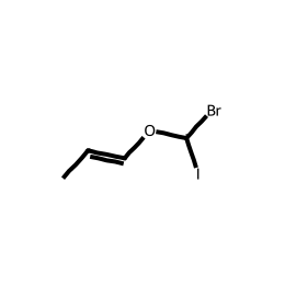 CC=CO[C](Br)I